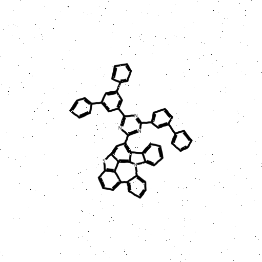 c1ccc(-c2cccc(-c3nc(-c4cc(-c5ccccc5)cc(-c5ccccc5)c4)nc(-c4cc5sc6cccc7c8ccccc8n8c9ccccc9c4c8c5c67)n3)c2)cc1